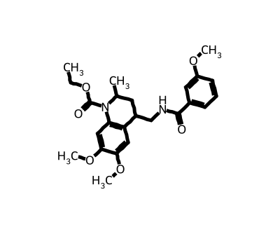 CCOC(=O)N1c2cc(OC)c(OC)cc2C(CNC(=O)c2cccc(OC)c2)CC1C